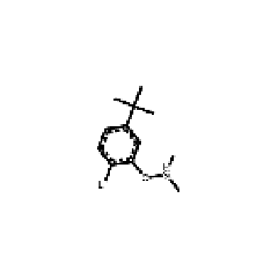 [Li][c]1ccc(C(C)(C)C)cc1O[SiH](C)C